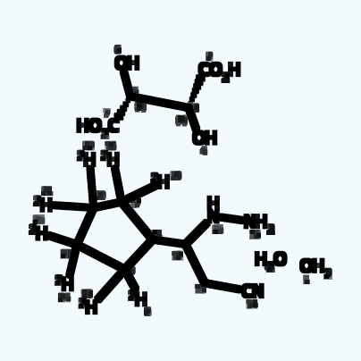 O.O.O=C(O)[C@H](O)[C@@H](O)C(=O)O.[2H]C1([2H])C(C(CC#N)NN)C([2H])([2H])C([2H])([2H])C1([2H])[2H]